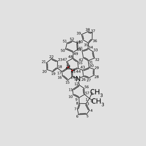 CC1(C)c2ccccc2-c2ccc(N(c3ccc(-c4ccccc4)cc3)c3cccc(-c4ccc(-c5ccccc5)cc4)c3-c3cccc(-c4ccccc4)c3)cc21